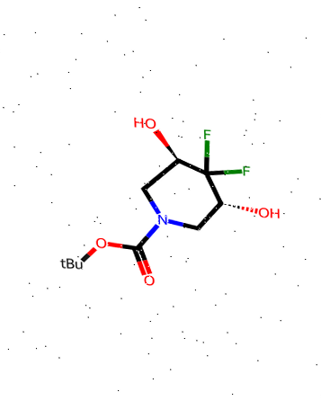 CC(C)(C)OC(=O)N1C[C@@H](O)C(F)(F)[C@H](O)C1